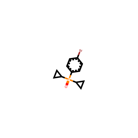 O=P(c1ccc(Br)cc1)(C1CC1)C1CC1